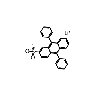 O=S(=O)([O-])c1ccc2c(-c3ccccc3)c3ccccc3c(-c3ccccc3)c2c1.[Li+]